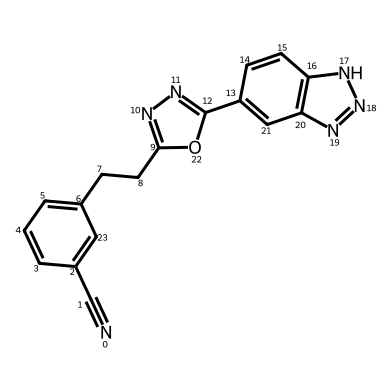 N#Cc1cccc(CCc2nnc(-c3ccc4[nH]nnc4c3)o2)c1